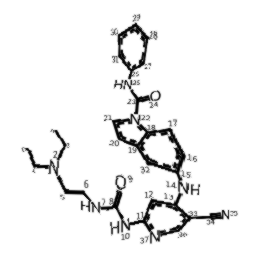 CCN(CC)CCNC(=O)Nc1cc(Nc2ccc3c(ccn3C(=O)Nc3ccccc3)c2)c(C#N)cn1